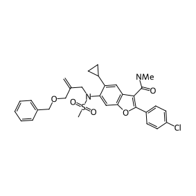 C=C(COCc1ccccc1)CN(c1cc2oc(-c3ccc(Cl)cc3)c(C(=O)NC)c2cc1C1CC1)S(C)(=O)=O